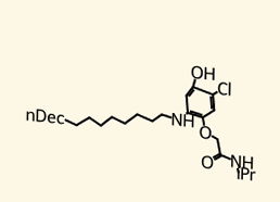 CCCCCCCCCCCCCCCCCCNc1cc(O)c(Cl)cc1OCC(=O)NC(C)C